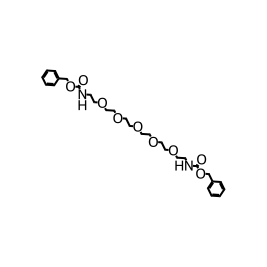 O=C(NCCOCCOCCOCCOCCOCCNC(=O)OCc1ccccc1)OCc1ccccc1